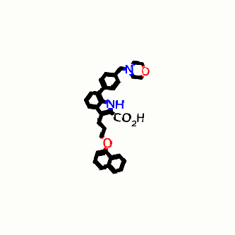 O=C(O)c1[nH]c2c(-c3ccc(CN4CCOCC4)cc3)cccc2c1CCCOc1cccc2ccccc12